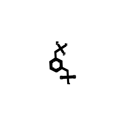 [CH2]S(=O)(=O)Cc1cccc(CC(F)(F)F)c1